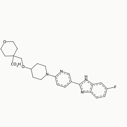 O=C(O)C1(COC2CCN(c3ccc(-c4nc5ccc(F)cc5[nH]4)cn3)CC2)CCOCC1